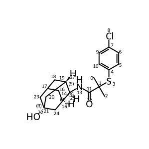 CC(C)(Sc1ccc(Cl)cc1)C(=O)N[C@H]1[C@@H]2CC3C[C@H]1C[C@](O)(C3)C2